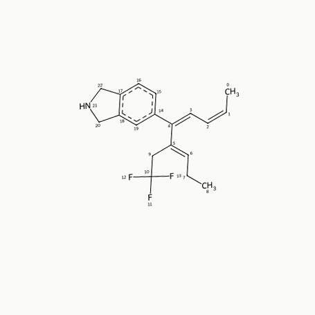 C\C=C/C=C(\C(=C\CC)CC(F)(F)F)c1ccc2c(c1)CNC2